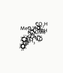 COc1nc(OCC2(OCCCN3CCOCC3)C=CC=C(c3ccccc3)C2(C)Br)nc(OC)c1Cn1cc(O)cc1C(=O)O